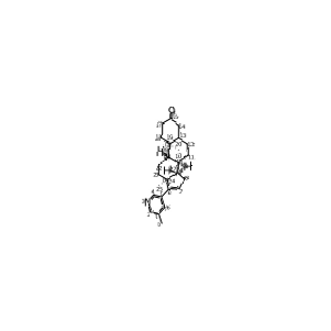 Cc1cncc(C2=CC[C@H]3[C@@H]4CCC5CC(=O)CC[C@]5(C)[C@H]4CC[C@]23C)c1